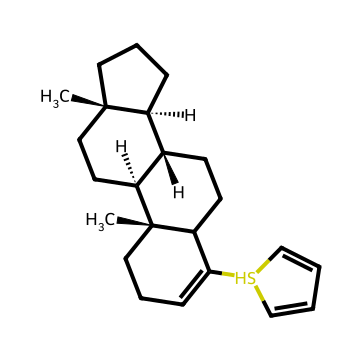 C[C@@]12CCC[C@H]1[C@@H]1CCC3C([SH]4C=CC=C4)=CCC[C@]3(C)[C@H]1CC2